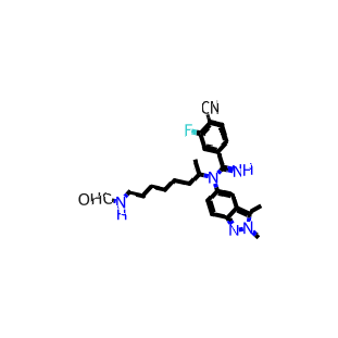 Cc1c2cc(N(C(=N)c3ccc(C#N)c(F)c3)C(C)CCCCCCNC=O)ccc2nn1C